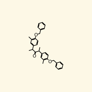 Cc1cc(C(C)C(=O)C(C)c2ccc(OCc3ccccc3)c(C)c2)ccc1OCc1ccccc1